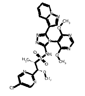 COc1ncnc(OC)c1-n1c(NS(=O)(=O)[C@@H](C)[C@H](OC)c2ncc(Cl)cn2)nnc1-c1cnn2ccccc12